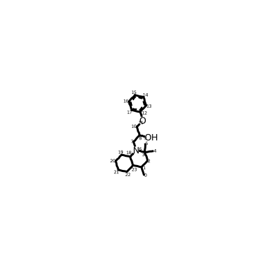 CC1CC(C)(C)N(CC(O)COc2ccccc2)C2CCCCC12